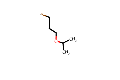 CC(C)OCCC[S]